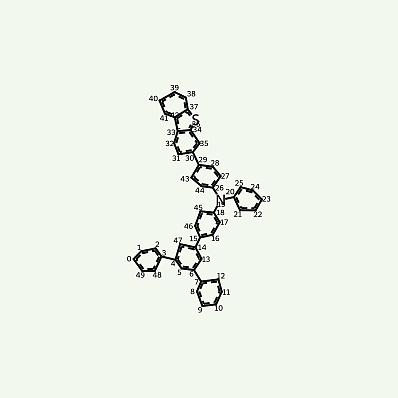 c1ccc(-c2cc(-c3ccccc3)cc(-c3ccc(N(c4ccccc4)c4ccc(-c5ccc6c(c5)sc5ccccc56)cc4)cc3)c2)cc1